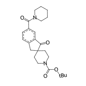 CC(C)(C)OC(=O)N1CCC2(CC1)Cc1ccc(C(=O)N3CCCCC3)cc1C2=O